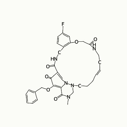 CN1CN2CCC/C=C/CCNC(=O)COc3cc(F)ccc3CNC(=O)c3cn2c(c(OCc2ccccc2)c3=O)C1=O